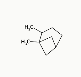 CC1CCC2CC1(C)C2